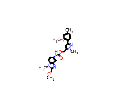 COCc1nc2cc(NC(=O)OCc3cc(-c4ccc(C)cc4OC)nn3C)ccc2n1C